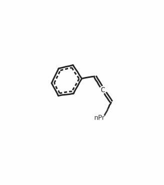 CCCC=C=Cc1ccccc1